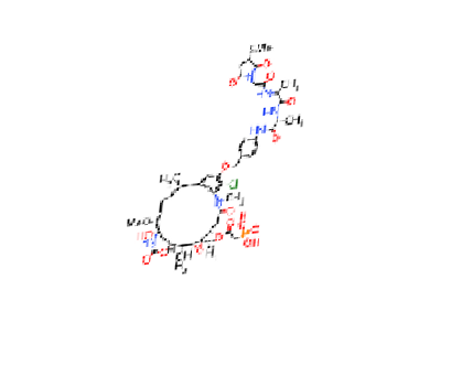 CO[C@@H]1/C=C/C=C(\C)Cc2cc(OCc3ccc(NC(=O)C(C)NC(=O)C(C)NC(=O)CN4C(=O)CC(SC)C4=O)cc3)c(Cl)c(c2)N(C)C(=O)C[C@H](OC(=O)CP(=O)(O)O)[C@]2(C)O[C@H]2[C@H](C)[C@@H]2C[C@@]1(O)NC(=O)O2